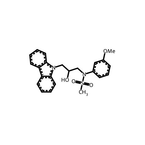 COc1cccc(N(CC(O)Cn2c3ccccc3c3ccccc32)S(C)(=O)=O)c1